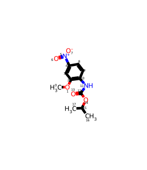 COc1cc([N+](=O)[O-])ccc1NC(=O)OC(C)C